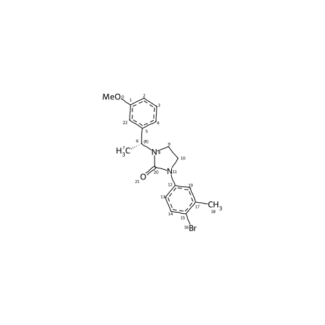 COc1cccc([C@@H](C)N2CCN(c3ccc(Br)c(C)c3)C2=O)c1